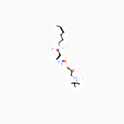 C/C=C\CCCNC(=O)c1cnc(OCC(O)CNC(C)(C)C)s1